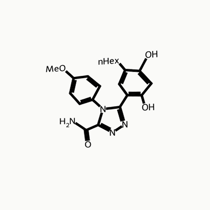 CCCCCCc1cc(-c2nnc(C(N)=O)n2-c2ccc(OC)cc2)c(O)cc1O